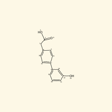 O=C(O)Cc1ccc(-c2cccc(O)c2)cc1